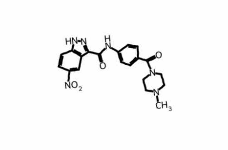 CN1CCN(C(=O)c2ccc(NC(=O)c3n[nH]c4ccc([N+](=O)[O-])cc34)cc2)CC1